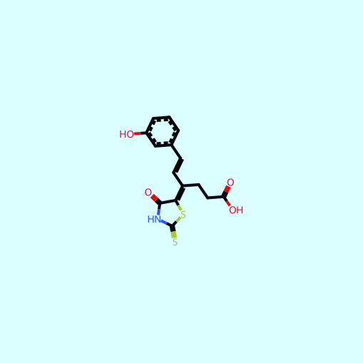 O=C(O)CCC(/C=C/c1cccc(O)c1)=C1\SC(=S)NC1=O